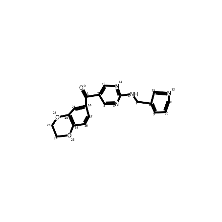 O=C(c1cnc(NCc2cccnc2)nc1)c1ccc2c(c1)OCCO2